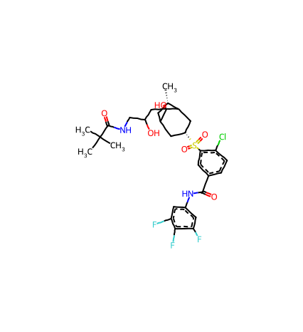 C[C@H]1CC2C[C@@H](S(=O)(=O)c3cc(C(=O)Nc4cc(F)c(F)c(F)c4)ccc3Cl)CC1[C@@]2(O)CC(O)CNC(=O)C(C)(C)C